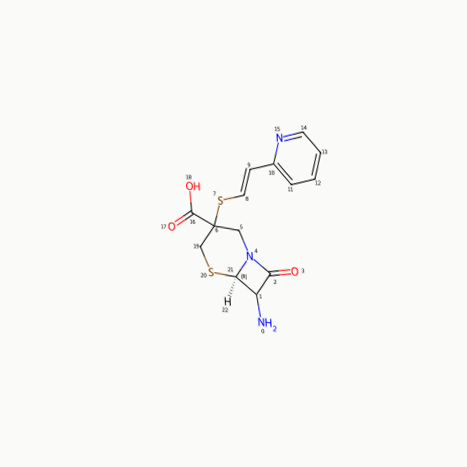 NC1C(=O)N2CC(SC=Cc3ccccn3)(C(=O)O)CS[C@H]12